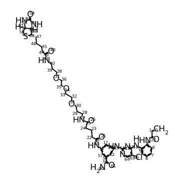 C=CC(=O)Nc1ccccc1Nc1nc(Nc2cc(NC(=O)CCCC(=O)NCCCOCCOCCOCCCNC(=O)CCCC[C@@H]3SC[C@@H]4NC(=O)N[C@@H]43)cc(C(N)=O)c2)ncc1Cl